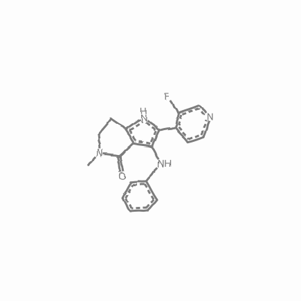 CN1CCc2[nH]c(-c3ccncc3F)c(Nc3ccccc3)c2C1=O